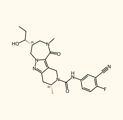 CCC(O)[C@@H]1CN(C)C(=O)c2c3c(nn2C1)C[C@@H](C)N(C(=O)Nc1ccc(F)c(C#N)c1)C3